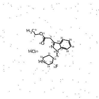 CCOC(=O)Cc1nn(C[C@H]2CCNC[C@H]2F)c2ccccc12.Cl